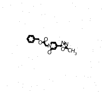 Cc1nnc(-c2ccn(CC(=O)OCc3ccccc3)c(=O)c2)o1